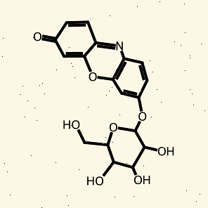 O=c1ccc2nc3ccc(OC4OC(CO)C(O)C(O)C4O)cc3oc-2c1